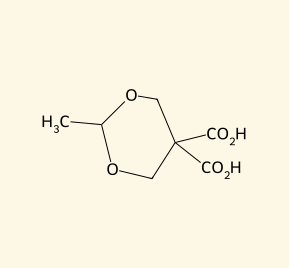 CC1OCC(C(=O)O)(C(=O)O)CO1